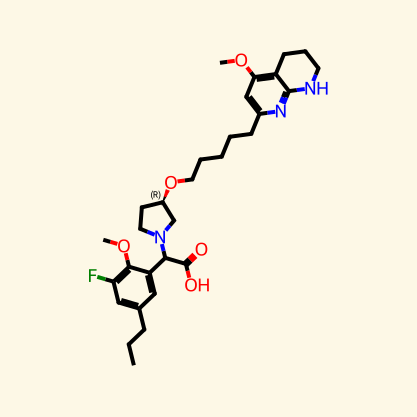 CCCc1cc(F)c(OC)c(C(C(=O)O)N2CC[C@@H](OCCCCCc3cc(OC)c4c(n3)NCCC4)C2)c1